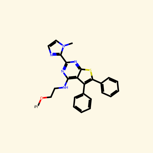 CC(C)OCCNc1nc(-c2nccn2C)nc2sc(-c3ccccc3)c(-c3ccccc3)c12